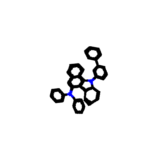 C1=CC2c3c(N(c4ccccc4)c4ccccc4)cc4ccccc4c3N(c3cccc(-c4ccccc4)c3)C2C=C1